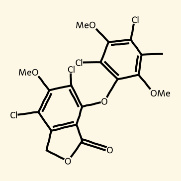 COc1c(Cl)c(C)c(OC)c(Oc2c(Cl)c(OC)c(Cl)c3c2C(=O)OC3)c1Cl